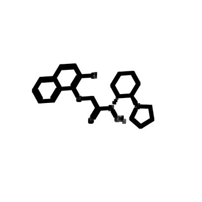 CN(C(=O)COc1c(Cl)ccc2ccccc12)[C@@H]1CCCC[C@H]1N1CCCC1